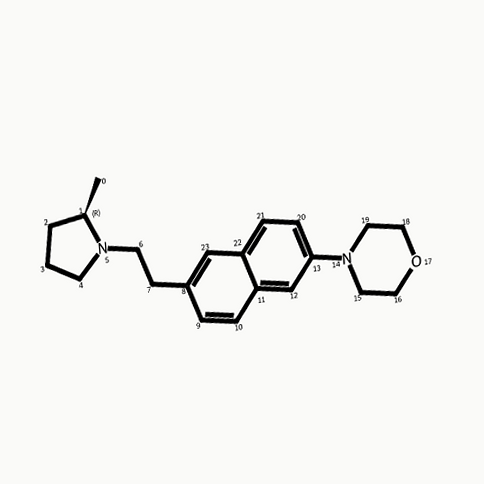 C[C@@H]1CCCN1CCc1ccc2cc(N3CCOCC3)ccc2c1